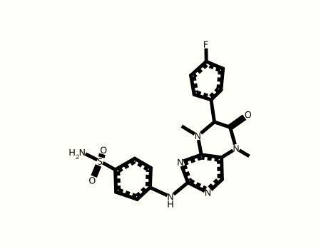 CN1C(=O)C(c2ccc(F)cc2)N(C)c2nc(Nc3ccc(S(N)(=O)=O)cc3)ncc21